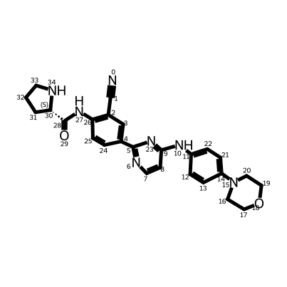 N#Cc1cc(-c2nccc(Nc3ccc(N4CCOCC4)cc3)n2)ccc1NC(=O)[C@@H]1CCCN1